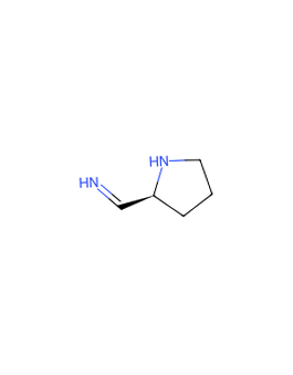 N=C[C@@H]1CCCN1